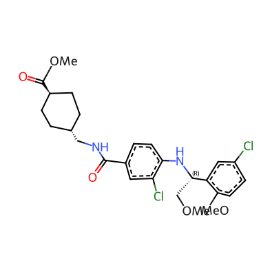 COC[C@H](Nc1ccc(C(=O)NC[C@H]2CC[C@H](C(=O)OC)CC2)cc1Cl)c1cc(Cl)ccc1OC